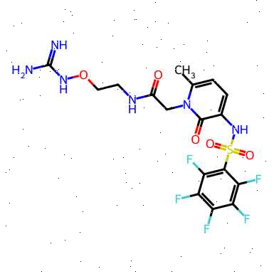 Cc1ccc(NS(=O)(=O)c2c(F)c(F)c(F)c(F)c2F)c(=O)n1CC(=O)NCCONC(=N)N